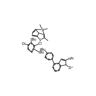 CC(C)(C)c1ccc([O-])c(C(C)(C)C)c1Cl.CC1=C2C3C(=CC=C3[Si]2(C)C)S1.CCCC1=Cc2c(-c3ccc(C(C)(C)C)cc3)cccc2[CH]1[Zr+]